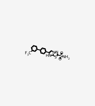 NS(=O)(=O)C1=NN2C=C(c3ccc(-c4cccc(C(F)(F)F)c4)cc3)NC2S1